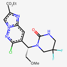 CCOC(=O)c1cn2nc(Cl)c([C@@H](COC)N3CC(F)(F)CNC3=O)cc2n1